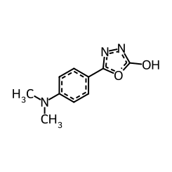 CN(C)c1ccc(-c2nnc(O)o2)cc1